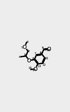 COCC(C)Oc1cc(C=O)ccc1OC